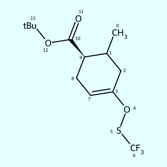 CC1CC(OSC(F)(F)F)=CC[C@H]1C(=O)OC(C)(C)C